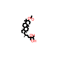 CC(=O)O[C@H]1CC[C@]23C[C@]24CC[C@]2(C)[C@@H]([C@H](C)CCC(O)(CO)C(C)C)CC[C@@]2(C)C4CCC3C1(C)C